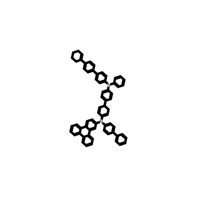 C1=CC(c2ccc(N(c3ccccc3)c3ccc(-c4ccc(C5=CCCCC5)cc4)cc3)cc2)CC=C1N(c1ccc(-c2ccccc2)cc1)c1ccc2c3ccccc3c3ccccc3c2c1